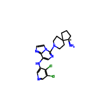 N[C@@H]1CCCC12CCN(c1ncc(Nc3cncc(Cl)c3Cl)c3nccn13)CC2